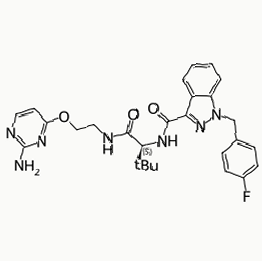 CC(C)(C)[C@H](NC(=O)c1nn(Cc2ccc(F)cc2)c2ccccc12)C(=O)NCCOc1ccnc(N)n1